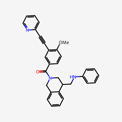 COc1ccc(C(=O)N2Cc3ccccc3C(CNc3ccccc3)C2)cc1C#Cc1ccccn1